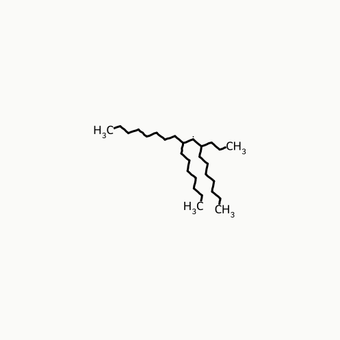 CCCCCCCCC([CH]C(CCC)CCCCCCC)CCCCCCC